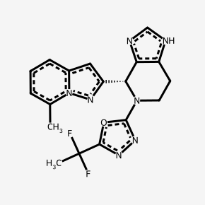 Cc1cccc2cc([C@@H]3c4nc[nH]c4CCN3c3nnc(C(C)(F)F)o3)nn12